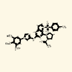 COc1cc(-n2cnc(Nc3nc(N4CCC[C@H]4C(N)=O)c4c(ccn4S(=O)(=O)c4ccc(C)cc4)n3)c2)cc(OC)c1OC